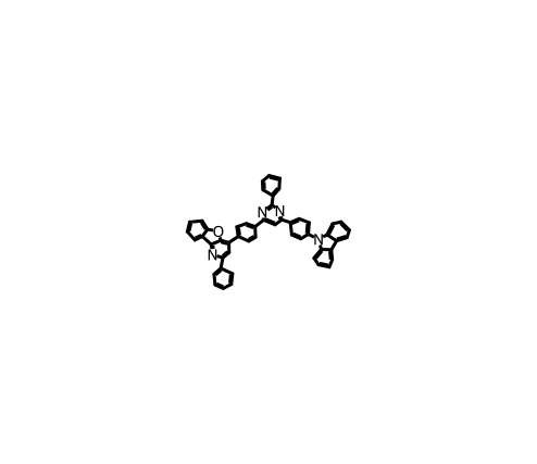 c1ccc(-c2cc(-c3ccc(-c4cc(-c5ccc(-n6c7ccccc7c7ccccc76)cc5)nc(-c5ccccc5)n4)cc3)c3oc4ccccc4c3n2)cc1